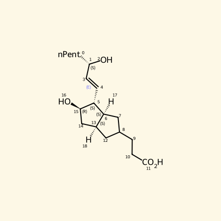 CCCCC[C@H](O)/C=C/[C@@H]1[C@H]2CC(CCC(=O)O)C[C@H]2C[C@H]1O